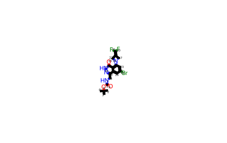 CC(C)(C)OC(=O)NCc1n[nH]c(=O)c2c(N3CC(=C(F)F)C3)cc(Br)cc12